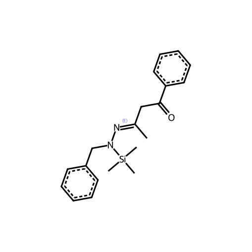 C/C(CC(=O)c1ccccc1)=N\N(Cc1ccccc1)[Si](C)(C)C